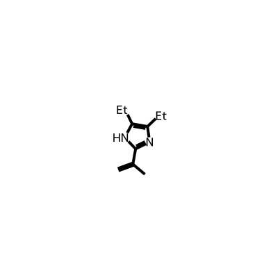 C=C(C)c1nc(CC)c(CC)[nH]1